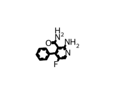 NC(=O)c1c(N)ncc(F)c1-c1ccccc1